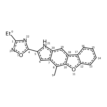 CCc1noc(-c2cc3c(C)c4oc5ccccc5c4cc3[nH]2)n1